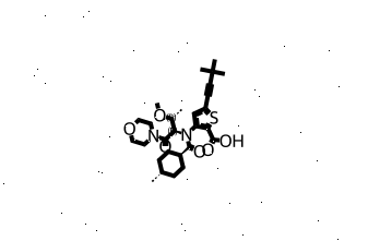 CO[C@H](C)[C@H](C(=O)N1CCOCC1)N(c1cc(C#CC(C)(C)C)sc1C(=O)O)C(=O)[C@H]1CC[C@H](C)CC1